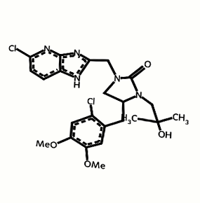 COc1cc(Cl)c(CC2CN(Cc3nc4nc(Cl)ccc4[nH]3)C(=O)N2CC(C)(C)O)cc1OC